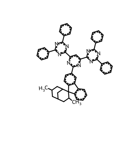 CC1CC2CC(C)C3(c4ccccc4-c4cc(-c5nc(-c6nc(-c7ccccc7)nc(-c7ccccc7)n6)cc(-c6nc(-c7ccccc7)nc(-c7ccccc7)n6)n5)ccc43)C(C1)C2